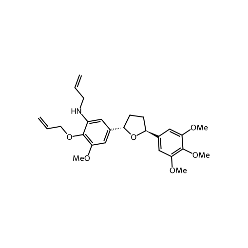 C=CCNc1cc([C@@H]2CC[C@@H](c3cc(OC)c(OC)c(OC)c3)O2)cc(OC)c1OCC=C